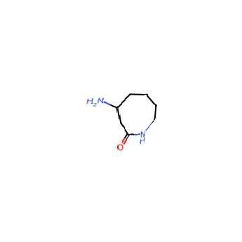 NC1CCCCNC(=O)C1